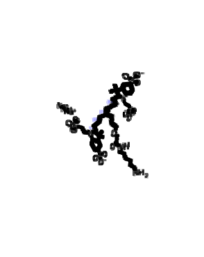 CC1(C)C(/C=C/C=C(/C=C/C=C2/N(CCS(=O)(=O)[O-])c3ccc(S(=O)(=O)[O-])cc3C2(C)C)CCCOCC(=O)NCCCCCCN)=[N+](CCS(=O)(=O)[O-])c2ccc(S(=O)(=O)[O-])cc21.[Na+].[Na+].[Na+]